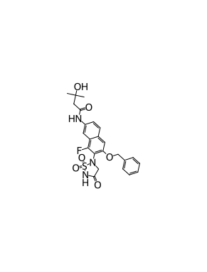 CC(C)(O)CC(=O)Nc1ccc2cc(OCc3ccccc3)c(N3CC(=O)NS3(=O)=O)c(F)c2c1